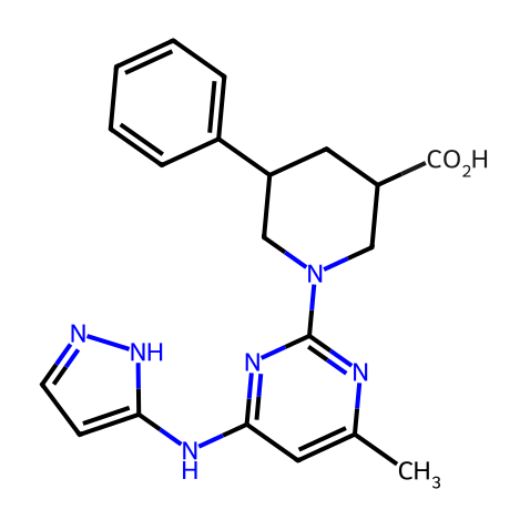 Cc1cc(Nc2ccn[nH]2)nc(N2CC(C(=O)O)CC(c3ccccc3)C2)n1